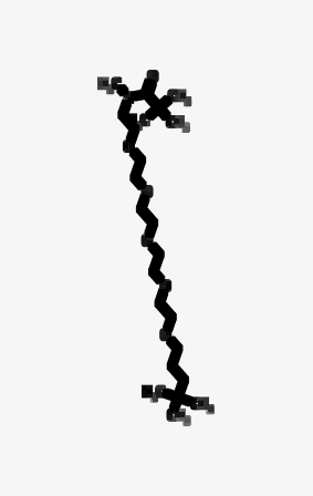 CN(CCOCCOCCOCCOCCOCCCC(C)(C)C)C(=O)C(C)(C)C